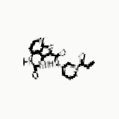 C=CC(=O)N1CCC[C@H](NC(=O)c2sc3nccc4c3c2NC(=O)N4)C1